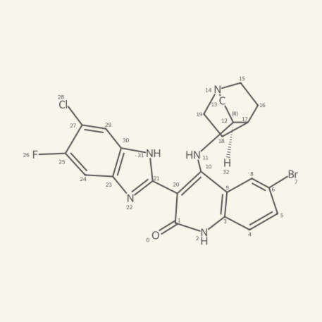 O=c1[nH]c2ccc(Br)cc2c(N[C@H]2CN3CCC2CC3)c1-c1nc2cc(F)c(Cl)cc2[nH]1